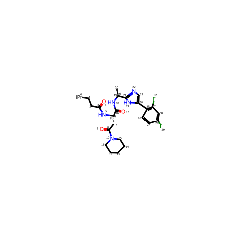 CC(C)CCC(=O)N[C@@H](CC(=O)N1CCCCC1)C(=O)N[C@@H](C)c1ncc(-c2ccc(F)cc2F)[nH]1